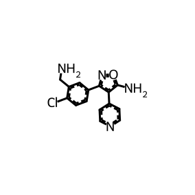 NCc1cc(-c2noc(N)c2-c2ccncc2)ccc1Cl